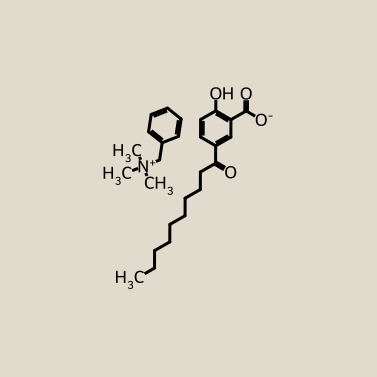 CCCCCCCCCC(=O)c1ccc(O)c(C(=O)[O-])c1.C[N+](C)(C)Cc1ccccc1